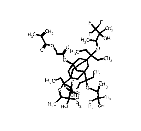 C=C(C)C(=O)OCC(=O)OC12CC3(C(CC)(CC)OC(C)C(C)(C)O)CC(C(CC)(CC)OC(C)C(C)(O)C(F)(F)F)(C1)CC(C(CC)(CC)OC(C)C(C)(O)C(F)(F)F)(C2)C3